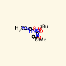 COC(C(=O)N1Cc2c(NC(=O)c3ccc(N4CCN(C)CC4)cc3)nn(C(=O)OCC(C)(C)C)c2C1)c1ccccc1